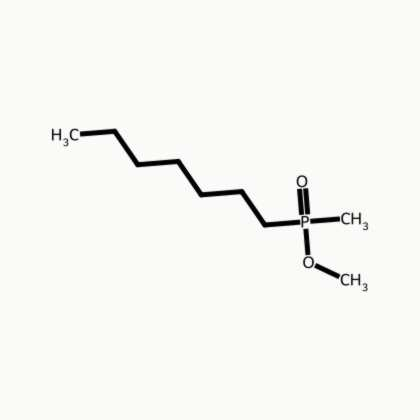 CCCCCCCP(C)(=O)OC